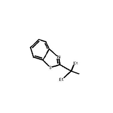 CCC(C)(CC)c1nc2ccccc2s1